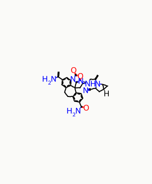 C=C(N)c1ccc2c(c1)CCc1cc(C(N)=O)ccc1C2(CCNCC(=C)N1C(C#N)C[C@@H]2CC21)c1nc(=O)on1C